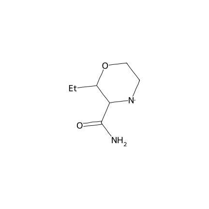 CCC1OCC[N]C1C(N)=O